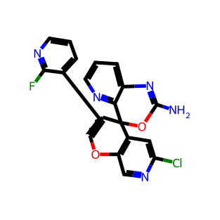 NC1=Nc2cccnc2C2(O1)c1cc(-c3cccnc3F)ccc1Oc1cnc(Cl)cc12